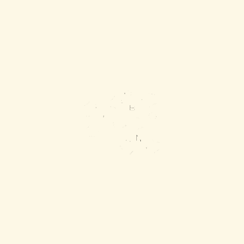 c1ccc(N(c2ccccc2)c2cc3c(c4ccccc24)B2c4cc(-c5cc6ccccc6c6ccccc56)ccc4Oc4cccc(c42)O3)cc1